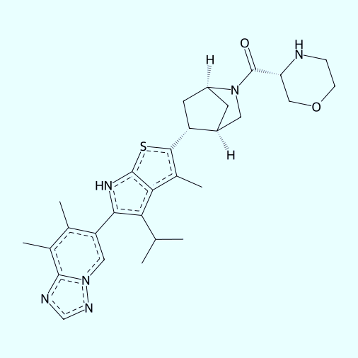 Cc1c(-c2[nH]c3sc([C@@H]4C[C@@H]5C[C@H]4CN5C(=O)[C@H]4COCCN4)c(C)c3c2C(C)C)cn2ncnc2c1C